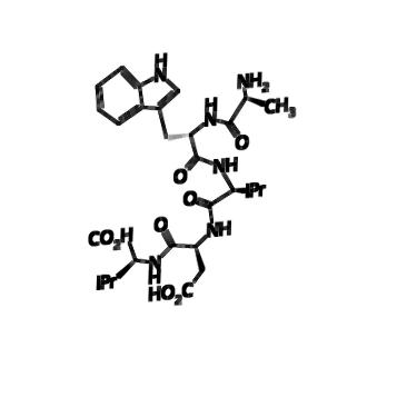 CC(C)[C@H](NC(=O)[C@H](CC(=O)O)NC(=O)[C@@H](NC(=O)[C@H](Cc1c[nH]c2ccccc12)NC(=O)[C@H](C)N)C(C)C)C(=O)O